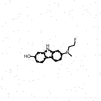 CN(CCF)c1ccc2c(c1)[nH]c1cc(O)ccc12